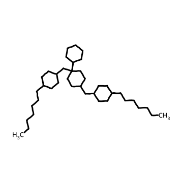 CCCCCCCC1CCC(CC2CCC(CC3CCC(CCCCCCC)CC3)(C3CCCCC3)CC2)CC1